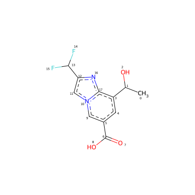 CC(O)c1cc(C(=O)O)cn2cc(C(F)F)nc12